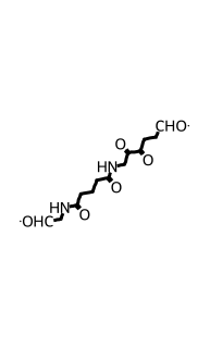 O=[C]CCC(=O)C(=O)CNC(=O)CCCC(=O)NC[C]=O